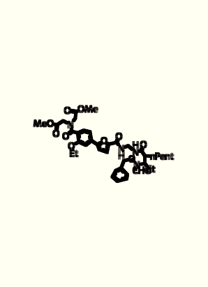 CCCCCC(C(=O)NCNC(=O)c1ccc(-c2ccc(C(=O)N(CC(=O)OC)CC(=O)OC)c(OCC)c2)o1)C(CC)N(C=O)OCc1ccccc1